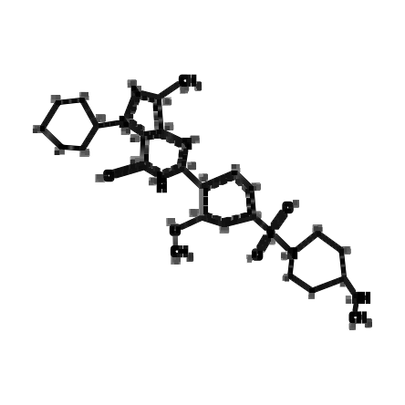 CNC1CCN(S(=O)(=O)c2ccc(-c3nc4c(C)nn(C5CCCCC5)c4c(=O)[nH]3)c(OC)c2)CC1